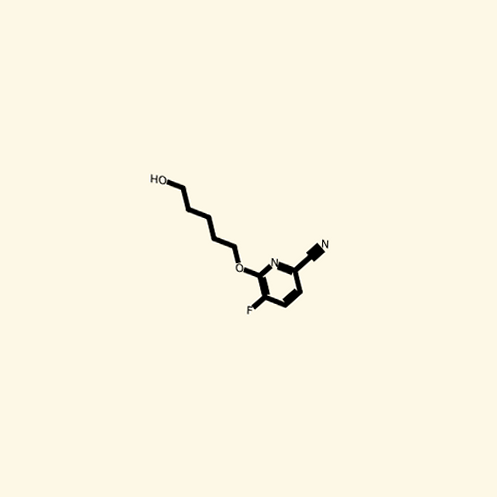 N#Cc1ccc(F)c(OCCCCCO)n1